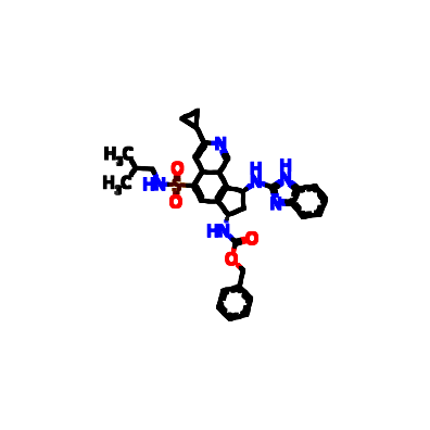 CC(C)CNS(=O)(=O)C1=CC2=C(C3C=NC(C4CC4)=CC13)[C@@H](Nc1nc3ccccc3[nH]1)C[C@@H]2NC(=O)OCc1ccccc1